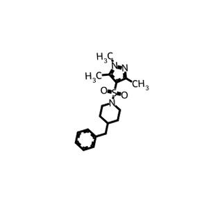 Cc1nn(C)c(C)c1S(=O)(=O)N1CCC(Cc2ccccc2)CC1